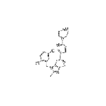 Cc1nc2cnc(-c3ccc(N4CCNCC4)nc3)cc2n1Cc1cc(Cl)ccc1Cl